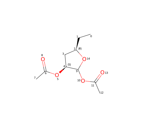 CC[C@@H]1C[C@H](OC(C)=O)C(OC(C)=O)O1